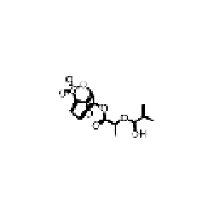 C=C(C)C(O)OC(C)C(=O)Oc1c2c3oc1cc3S(=O)(=O)O2